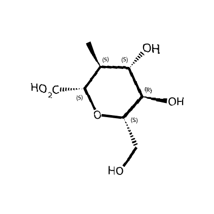 C[C@H]1[C@H](O)[C@@H](O)[C@H](CO)O[C@@H]1C(=O)O